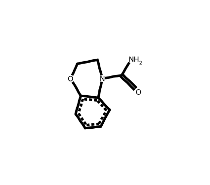 NC(=O)N1CCOc2ccccc21